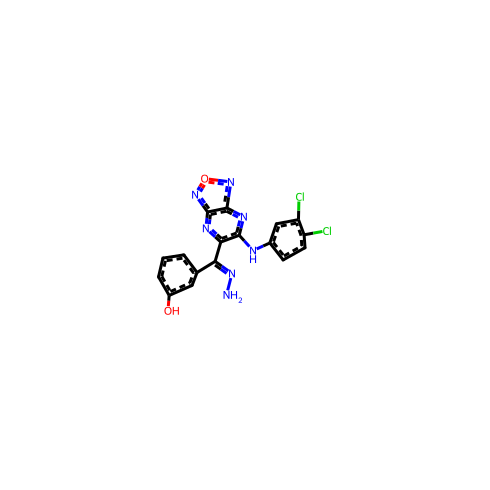 NN=C(c1cccc(O)c1)c1nc2nonc2nc1Nc1ccc(Cl)c(Cl)c1